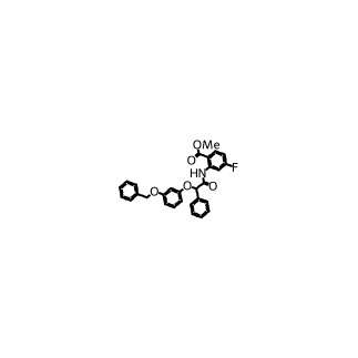 COC(=O)c1ccc(F)cc1NC(=O)C(Oc1cccc(OCc2ccccc2)c1)c1ccccc1